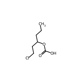 CCCC(CCCl)OC(=O)O